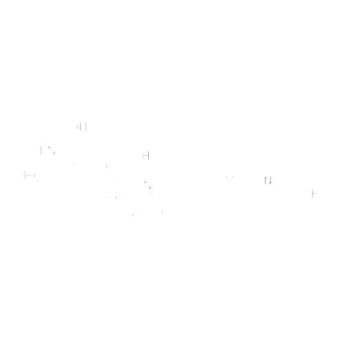 CC(C(=O)OCC(N)(CO)CO)n1c(=O)oc2cc(OCc3ccc(F)cn3)c(Cl)cc21